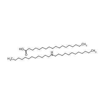 CCCCCCCCCCCCCCCCCC(=O)O.CCCCCCCCCCCCNCCCCCCCCCCCC